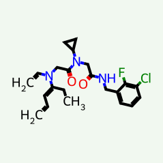 C=C/C=C(\CC)N(C=C)CC(=O)N(CC(=O)NCc1cccc(Cl)c1F)C1CC1